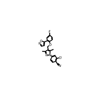 Cc1nn(-c2ccc(C#N)c(Cl)c2)c(C)c1COc1ccc(F)cc1-c1ccno1